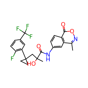 Cc1noc(=O)c2ccc(NC(=O)C(C)(O)CC3(c4cc(C(F)(F)F)ccc4F)CC3)cc12